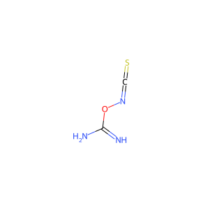 N=C(N)ON=C=S